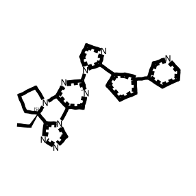 CC[C@@]12CCCN1c1nc(-n3ccnc3-c3cccc(-c4cccnc4)c3)ncc1-n1cnnc12